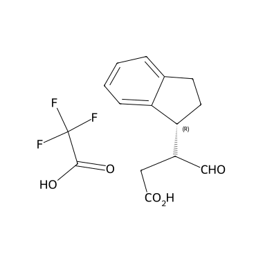 O=C(O)C(F)(F)F.O=CC(CC(=O)O)[C@H]1CCc2ccccc21